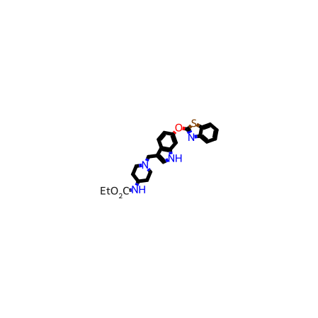 CCOC(=O)NC1CCN(Cc2c[nH]c3cc(Oc4nc5ccccc5s4)ccc23)CC1